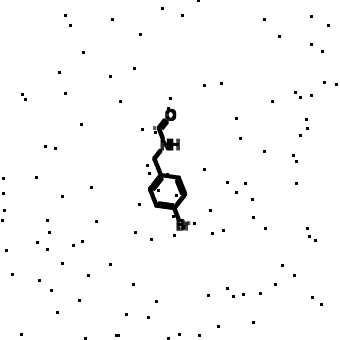 O=[C]NCc1ccc(Br)cc1